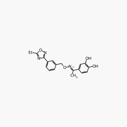 CCc1nc(-c2cccc(CO/N=C(\C)c3ccc(O)c(O)c3)c2)no1